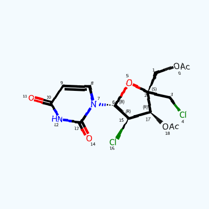 CC(=O)OC[C@]1(CCl)O[C@@H](n2ccc(=O)[nH]c2=O)[C@H](Cl)[C@@H]1OC(C)=O